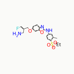 CCOS(=O)(=O)c1ccc(Nc2nc3ccc(OCC(=CF)CN)cc3o2)cc1C